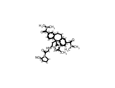 Cc1nnc(C2(CCNCC(=O)N3CCCC3C#N)c3ccc(C(=O)N(C)C)cc3CCc3cc(C(=O)N(C)C)ccc32)o1